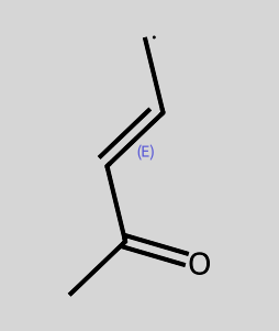 [CH2]/C=C/C(C)=O